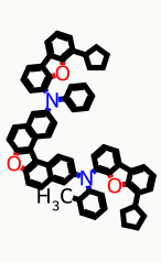 CC1C=CC=CC1N(c1ccc2c(ccc3oc4ccc5cc(N(c6ccccc6)c6cccc7c6oc6c(C8CCCC8)cccc67)ccc5c4c32)c1)c1cccc2c1oc1c(C3CCCC3)cccc12